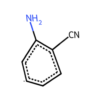 N#Cc1cc[c]cc1N